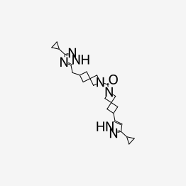 O=C(N1CC2(CC(Cc3nc(C4CC4)n[nH]3)C2)C1)N1CC2(CC(c3cc(C4CC4)n[nH]3)C2)C1